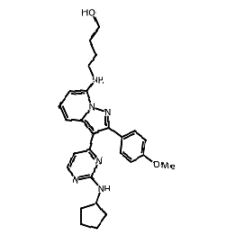 COc1ccc(-c2nn3c(NCCCCO)cccc3c2-c2ccnc(NC3CCCC3)n2)cc1